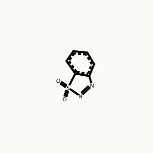 O=S1(=O)N=Nc2[c]cccc21